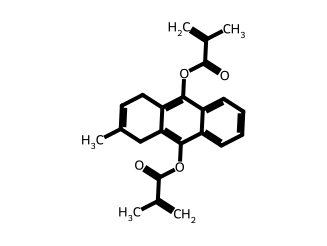 C=C(C)C(=O)Oc1c2c(c(OC(=O)C(=C)C)c3ccccc13)CC(C)=CC2